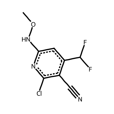 CONc1cc(C(F)F)c(C#N)c(Cl)n1